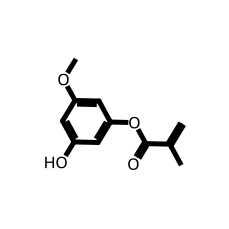 C=C(C)C(=O)Oc1cc(O)cc(OC)c1